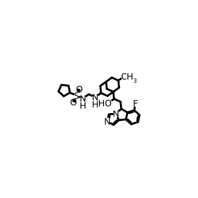 CC1CC2CC(NCNS(=O)(=O)C3CCCC3)CC(C(O)CC3c4c(F)cccc4-c4cncn43)(C1)C2